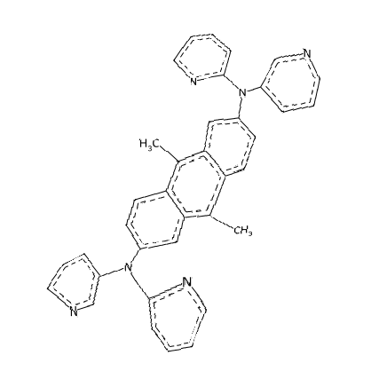 Cc1c2ccc(N(c3cccnc3)c3ccccn3)cc2c(C)c2ccc(N(c3cccnc3)c3ccccn3)cc12